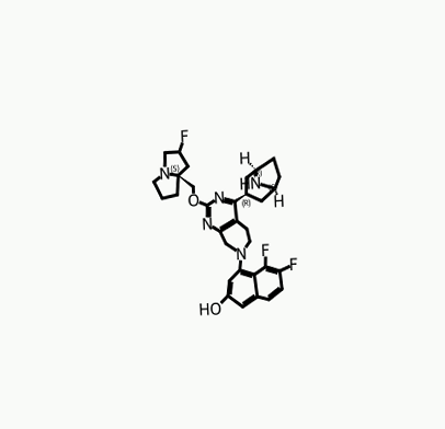 Oc1cc(N2CCc3c(nc(OC[C@@]45CCCN4CC(F)C5)nc3[C@H]3C[C@H]4CC[C@@H](C3)N4)C2)c2c(F)c(F)ccc2c1